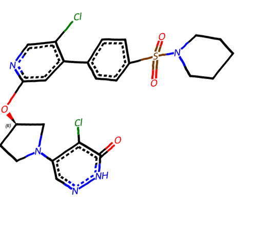 O=c1[nH]ncc(N2CC[C@@H](Oc3cc(-c4ccc(S(=O)(=O)N5CCCCC5)cc4)c(Cl)cn3)C2)c1Cl